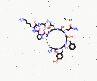 CC=O.NCCCC[C@@H](NC(=O)[C@@H]1CCCN1C(=O)[C@@H]1CSSC[C@H](N)C(O)=N[C@@H](Cc2ccc(O)cc2)C(O)=N[C@@H](Cc2ccccc2)C(O)=N[C@@H](CCC(N)=O)C(O)=N[C@@H](CC(N)=O)C(O)=N1)C(=O)NCC(N)=O